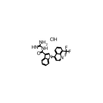 Cl.N=C(N)NC(=O)c1cn(-c2ccnc3c(C(F)(F)F)cccc23)c2ccccc12